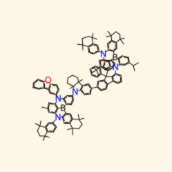 Cc1cc2c3c(c1)N(c1ccc4c(c1)C(C)(C)CCC4(C)C)c1cc4c(cc1B3c1ccc(N3c5ccc(-c6ccc7c(c6)C(c6ccccc6)(c6ccccc6)c6c-7cccc6N6c7cc(C(C)C)ccc7B7c8cc9c(cc8N(c8ccc%10c(c8)C(C)(C)CCC%10(C)C)c8cc(C(C)(C)C)cc6c87)C(C)(C)CCC9(C)C)cc5C5(C)CCCCC35C)cc1N2c1ccc2oc3ccccc3c2c1)C(C)(C)CCC4(C)C